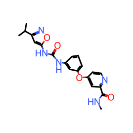 CNC(=O)c1cc(Oc2cccc(NC(=O)Nc3cc(C(C)C)no3)c2)ccn1